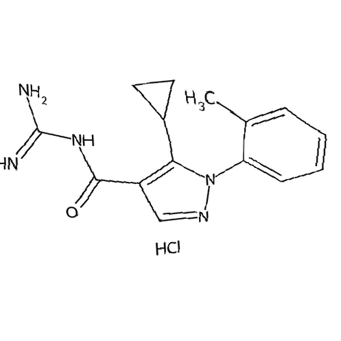 Cc1ccccc1-n1ncc(C(=O)NC(=N)N)c1C1CC1.Cl